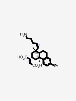 CC(C)c1ccc2c(c1)CCC1[C@@](C)(/C=C\CCCN)CCC[C@]21C.O=C(O)/C=C/C(=O)O